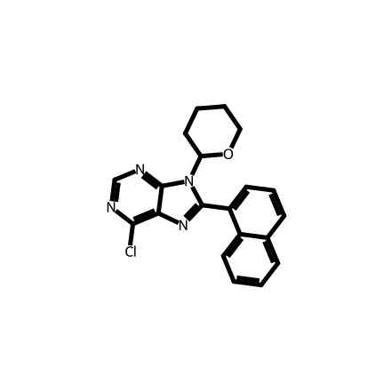 Clc1ncnc2c1nc(-c1cccc3ccccc13)n2C1CCCCO1